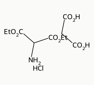 CCOC(=O)C(N)C(=O)OCC.Cl.O=C(O)CC(=O)O